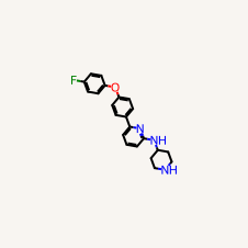 Fc1ccc(Oc2ccc(-c3cccc(NC4CCNCC4)n3)cc2)cc1